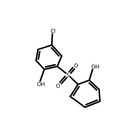 O=S(=O)(c1ccccc1O)c1cc(Cl)ccc1O